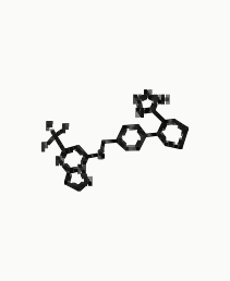 FC(F)(F)c1cc(SCc2ccc(-c3ccccc3-c3nnn[nH]3)cc2)n2nccc2n1